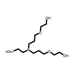 CCCCCCCCCCCCN(CCCOCCO)CCCOCCO